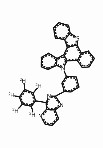 [2H]c1c([2H])c([2H])c(-c2nc(-c3cccc(-n4c5ccccc5c5c6c7ccccc7sc6c6ccccc6c54)c3)nc3cccnc23)c([2H])c1[2H]